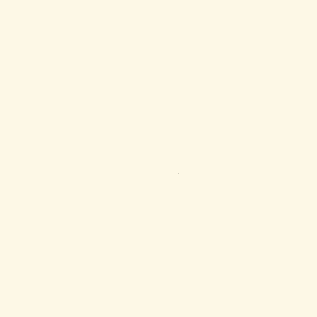 [CH2]C1C=CC2=C1CCCC2